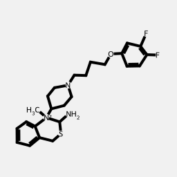 C[N+]1(C2CCN(CCCCOc3ccc(F)c(F)c3)CC2)c2ccccc2CSC1N